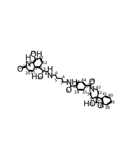 O=C(NCCCCNCC(O)c1ccc(O)c2[nH]c(=O)ccc12)c1ccc(C(=O)N2CCC(C(=O)O)(c3ccccc3)CC2)cc1